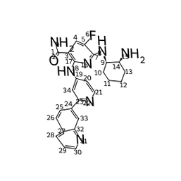 NC(=O)c1cc(F)c(N[C@@H]2CCCC[C@@H]2N)nc1Nc1ccnc(-c2ccc3cccnc3c2)c1